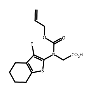 C=CCOC(=O)N(CC(=O)O)c1sc2c(c1F)CCCC2